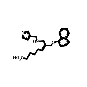 O=C(O)CCCCC=C(CNCc1ccsc1)COc1cccc2ccccc12